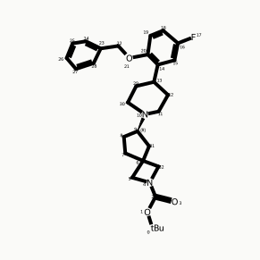 CC(C)(C)OC(=O)N1CC2(CC[C@@H](N3CCC(c4cc(F)ccc4OCc4ccccc4)CC3)C2)C1